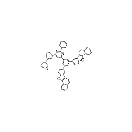 c1ccc(-c2nc(-c3cccc(-c4cccnc4)c3)cc(-c3cc(-c4ccc5oc6c7ccccc7ccc6c5c4)cc(-c4ccc5oc6c7ccccc7ccc6c5c4)c3)n2)cc1